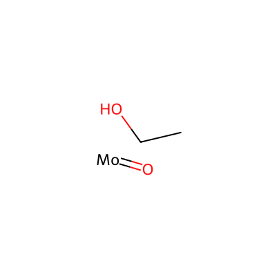 CCO.[O]=[Mo]